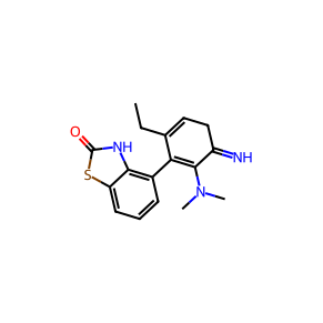 CCC1=CCC(=N)C(N(C)C)=C1c1cccc2sc(=O)[nH]c12